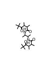 CC(NC(=O)C(C)C(C)C(=O)C(C)(C)C)C(C)NC(=O)C(C)C(C)C(=O)C(C)(C)C